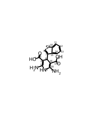 NC1=C(C(=O)O)C(c2csc3ccccc23)C(C(=O)O)=C(N)N1